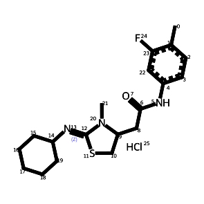 Cc1ccc(NC(=O)CC2CS/C(=N\C3CCCCC3)N2C)cc1F.Cl